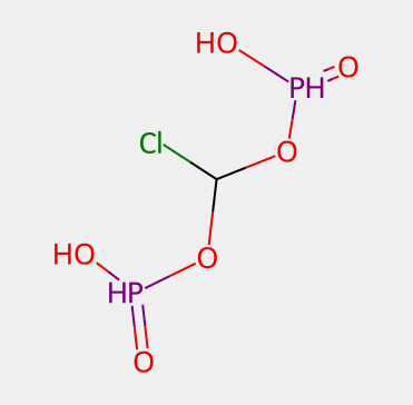 O=[PH](O)OC(Cl)O[PH](=O)O